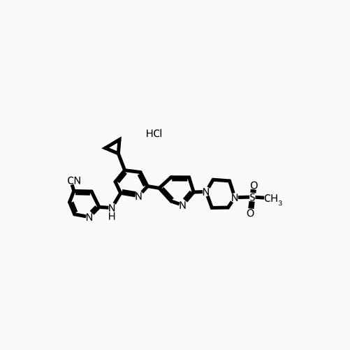 CS(=O)(=O)N1CCN(c2ccc(-c3cc(C4CC4)cc(Nc4cc(C#N)ccn4)n3)cn2)CC1.Cl